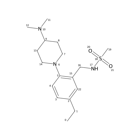 CCc1ccc(N2CCC(N(C)C)CC2)c(CNS(C)(=O)=O)c1